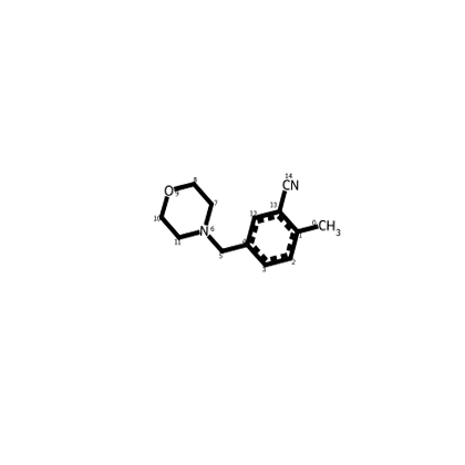 Cc1ccc(CN2CCOCC2)cc1C#N